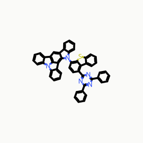 c1ccc(-c2nc(-c3ccccc3)nc(-c3ccc(-n4c5ccccc5c5cc6c7ccccc7n7c8ccccc8c(c54)c67)c4sc5ccccc5c34)n2)cc1